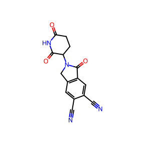 N#Cc1cc2c(cc1C#N)C(=O)N(C1CCC(=O)NC1=O)C2